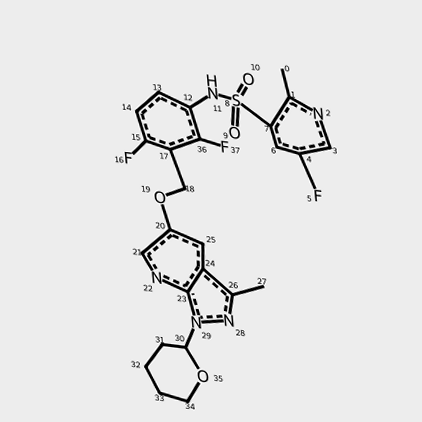 Cc1ncc(F)cc1S(=O)(=O)Nc1ccc(F)c(COc2cnc3c(c2)c(C)nn3C2CCCCO2)c1F